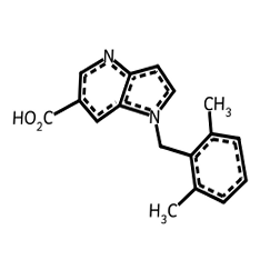 Cc1cccc(C)c1Cn1ccc2ncc(C(=O)O)cc21